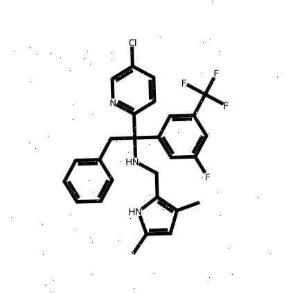 Cc1cc(C)c(CNC(Cc2ccccc2)(c2cc(F)cc(C(F)(F)F)c2)c2ccc(Cl)cn2)[nH]1